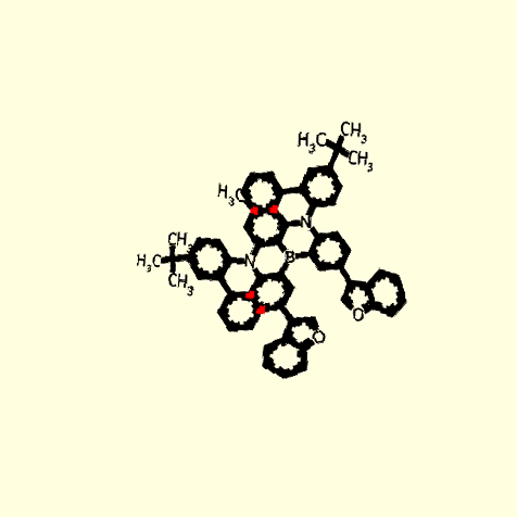 Cc1cc2c3c(c1)N(c1ccc(C(C)(C)C)cc1-c1ccccc1)c1ccc(-c4coc5ccccc45)cc1B3c1cc(-c3coc4ccccc34)ccc1N2c1ccc(C(C)(C)C)cc1-c1ccccc1